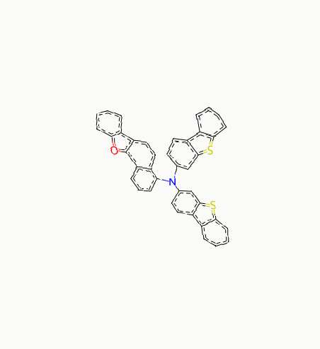 c1ccc2c(c1)oc1c3cccc(N(c4ccc5c(c4)sc4ccccc45)c4ccc5c(c4)sc4ccccc45)c3ccc21